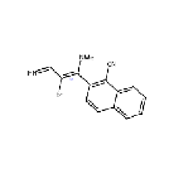 CN/C(=C(/Br)C=N)c1ccc2ccccc2c1C#N